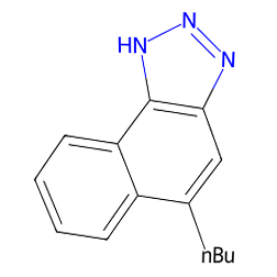 CCCCc1cc2nn[nH]c2c2ccccc12